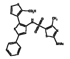 CC(=O)Nc1nc(C)c(S(=O)(=O)Nc2cc(-c3ccccc3)sc2-c2ccsc2C(=O)O)s1